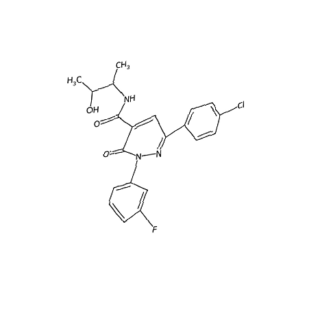 CC(O)C(C)NC(=O)c1cc(-c2ccc(Cl)cc2)nn(-c2cccc(F)c2)c1=O